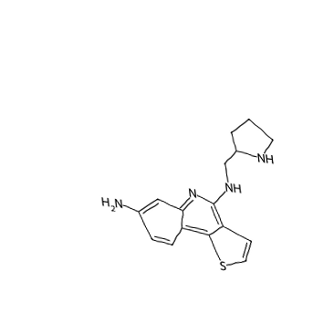 Nc1ccc2c(c1)nc(NCC1CCCN1)c1ccsc12